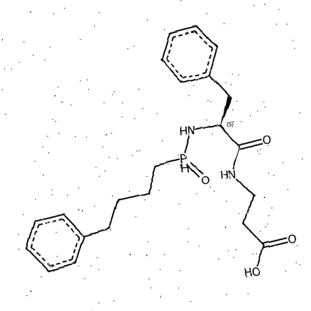 O=C(O)CCNC(=O)[C@H](Cc1ccccc1)N[PH](=O)CCCCc1ccccc1